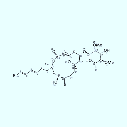 CC/C=C/C=C/CC[C@]1(C)C[C@H](O)[C@H](C)CC[C@H]2C[C@@H](O[C@@H]3O[C@@H](C)[C@H](OC)[C@@H](O)[C@H]3OC)C[C@@](O)(CC(=O)O1)O2